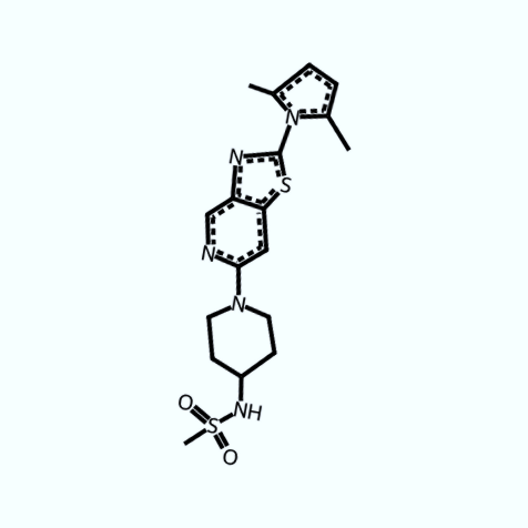 Cc1ccc(C)n1-c1nc2cnc(N3CCC(NS(C)(=O)=O)CC3)cc2s1